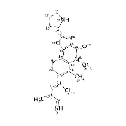 C=C(C=N)/C=C(\C)c1ccc2c3oc([C@@H]4CCCN4)nc3c(=O)n(C)c2c1C